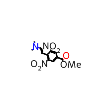 COC(=O)c1cc([N+](=O)[O-])c(/C=C/N(C)C)c([N+](=O)[O-])c1